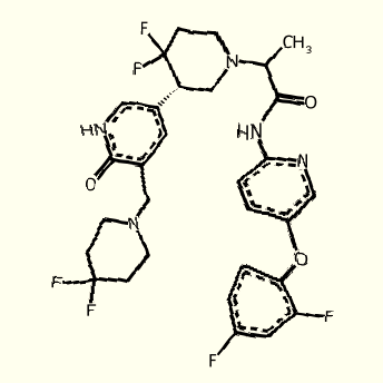 CC(C(=O)Nc1ccc(Oc2ccc(F)cc2F)cn1)N1CCC(F)(F)[C@@H](c2c[nH]c(=O)c(CN3CCC(F)(F)CC3)c2)C1